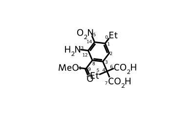 CCc1cc(C(CC)(C(=O)O)C(=O)O)c(C(=O)OC)c(N)c1[N+](=O)[O-]